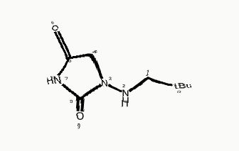 CC(C)(C)CNN1CC(=O)NC1=O